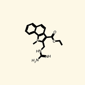 CCOC(=O)c1c(CNC(=N)N)n(C)c2c1ccc1ccccc12